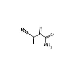 C=C(C(N)=O)C(C)C#N